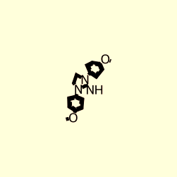 COc1ccc(N2CCN(c3ccc(OC)cc3)C2=N)cc1